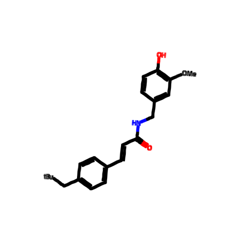 COc1cc(CNC(=O)C=Cc2ccc(CC(C)(C)C)cc2)ccc1O